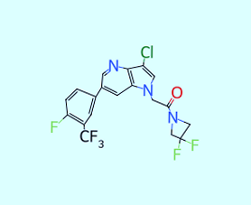 O=C(Cn1cc(Cl)c2ncc(-c3ccc(F)c(C(F)(F)F)c3)cc21)N1CC(F)(F)C1